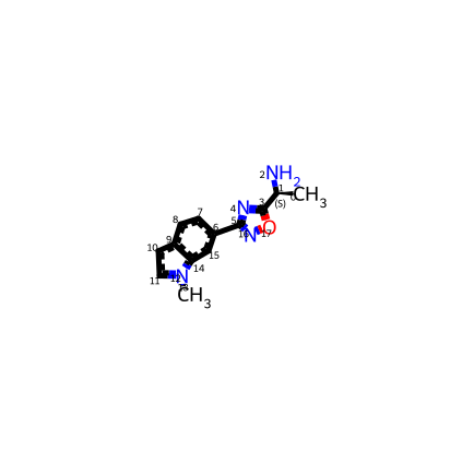 C[C@H](N)c1nc(-c2ccc3ccn(C)c3c2)no1